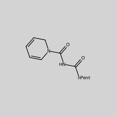 [CH2]CCC[CH]C(=O)NC(=O)N1C=CC=CC1